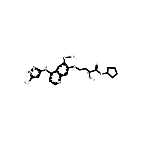 COc1cc2c(Nc3cc(C)[nH]n3)ccnc2cc1OCC[C@H](N)C(=O)OC1CCCC1